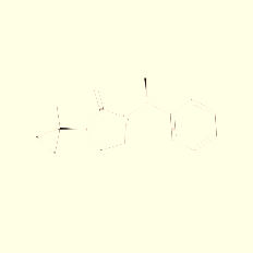 CCOC(=O)C1([C@H]2C(=S)N([C@@H](C)c3ccccc3)C[C@@H]2C)CC1